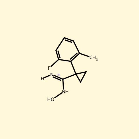 [H]/N=C(\NO)C1(c2c(C)cccc2F)CC1